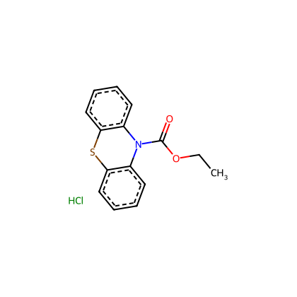 CCOC(=O)N1c2ccccc2Sc2ccccc21.Cl